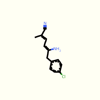 C/C(C#N)=C\C=C(/N)Cc1ccc(Cl)cc1